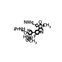 CNC[C@H]1C[C@@]2(C1)C(=O)N(C)c1cnc3cc(F)c(-c4cnc(OCCNC(C)C)c(NS(C)(=O)=O)c4)cc3c12